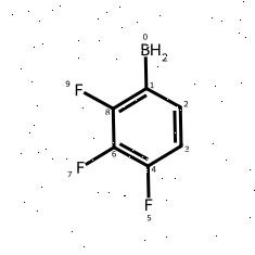 Bc1ccc(F)c(F)c1F